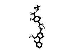 COCc1cc(-c2nc(-c3ccc(C(=O)N4CC(F)(F)C4)c(F)c3)no2)ccc1C1=C(C)C=CCC1